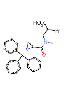 CC(C)C(CN(C)C(=O)C1C[N@@]1C(c1ccccc1)(c1ccccc1)c1ccccc1)C(=O)O